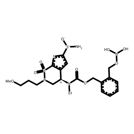 CCN(C(=O)OCc1ccccc1CON(O)O)[C@H]1CN(CCCOC)S(=O)(=O)c2sc([S+](N)[O-])cc21